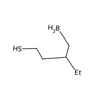 BCC(CC)CCS